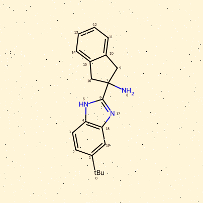 CC(C)(C)c1ccc2[nH]c(C3(N)Cc4ccccc4C3)nc2c1